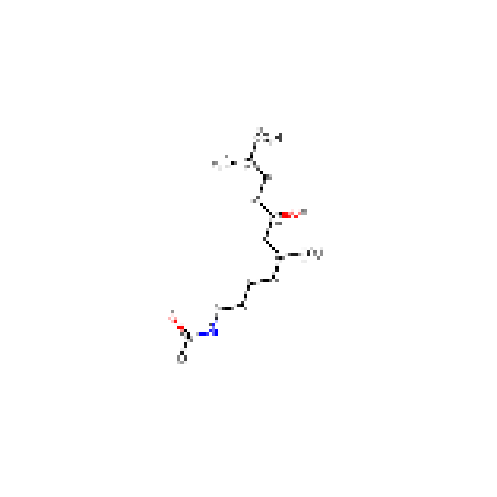 CCC(=O)NCCCCC(CC(=O)CCC(C)C(=O)O)C(=O)O